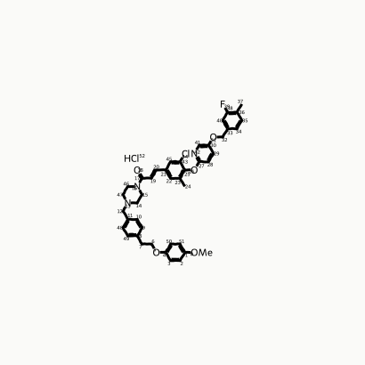 COc1ccc(OCCc2ccc(CN3CCN(C(=O)C=Cc4cc(C)c(Oc5ccc(OCc6ccc(C)c(F)c6)cn5)c(Cl)c4)CC3)cc2)cc1.Cl